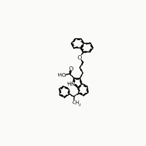 CC(c1ccccc1)c1cccc2c(CCCOc3cccc4ccccc34)c(C(=O)O)[nH]c12